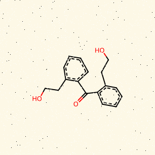 O=C(c1ccccc1CCO)c1ccccc1CCO